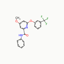 COc1cc(Oc2cccc(C(F)(F)F)c2)nc(C(=O)Nc2ccccc2)c1